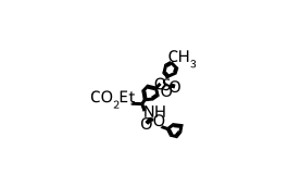 CCOC(=O)CC(CNC(=O)OCc1ccccc1)c1ccc(OS(=O)(=O)c2ccc(C)cc2)cc1